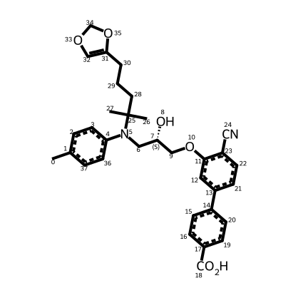 Cc1ccc(N(C[C@H](O)COc2cc(-c3ccc(C(=O)O)cc3)ccc2C#N)C(C)(C)CCCC2=COCO2)cc1